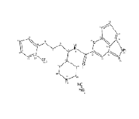 Cl.Cl.O=C(NC(CCCc1ccccc1C(F)(F)F)C1CCNCC1)C1=Cc2n[nH]c3cccc(c23)S1